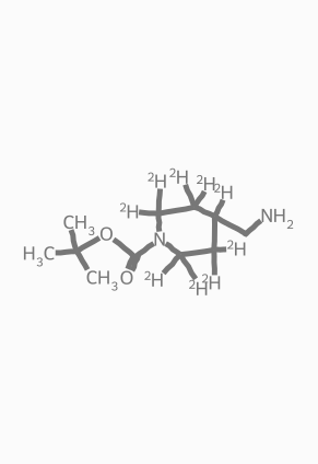 [2H]C1([2H])N(C(=O)OC(C)(C)C)C([2H])([2H])C([2H])([2H])C([2H])(CN)C1([2H])[2H]